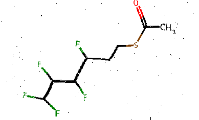 CC(=O)SCCC(F)C(F)C(F)C(F)F